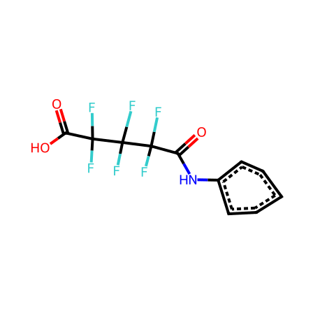 O=C(O)C(F)(F)C(F)(F)C(F)(F)C(=O)Nc1ccccc1